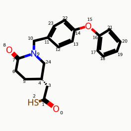 O=C(S)C[C@@H]1CCC(=O)N(Cc2ccc(Oc3ccccc3)cc2)C1